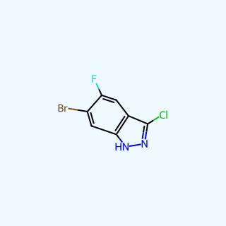 Fc1cc2c(Cl)n[nH]c2cc1Br